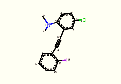 CN(C)c1ccc(Cl)cc1C#Cc1ccccc1I